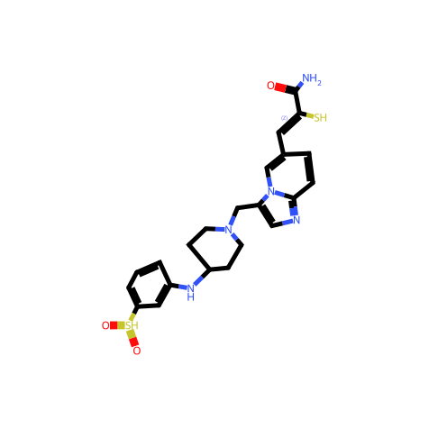 NC(=O)/C(S)=C/c1ccc2ncc(CN3CCC(Nc4cccc([SH](=O)=O)c4)CC3)n2c1